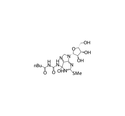 CCCCC(=O)NC(=O)NC1(O)N=C(SC)N=C2C1=NCN2[C@@H]1O[C@H](CO)[C@@H](O)[C@H]1O